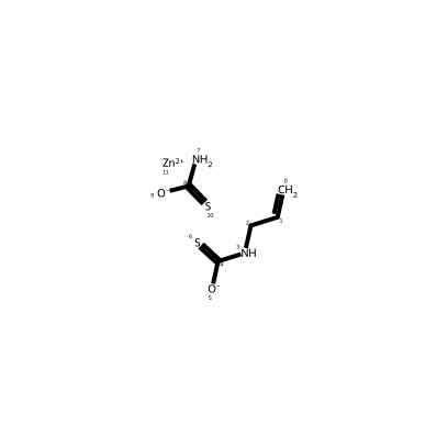 C=CCNC([O-])=S.NC([O-])=S.[Zn+2]